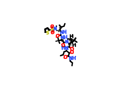 CCCNC(=O)C(=O)C(CCC)NC(=O)[C@@H]1[C@@H]2[C@H](CN1C(=O)[C@@H](NC(=O)N[C@H](CN(C)S(=O)(=O)c1cccs1)[C@@H](C)CC)C(C)(C)C)C2(C)C